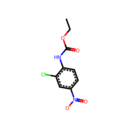 CCOC(=O)Nc1ccc([N+](=O)[O-])cc1Cl